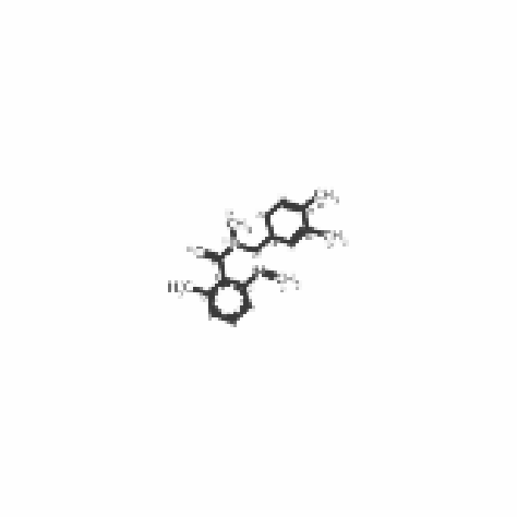 C=Nc1cccc(C)c1C(=O)N(C)CC1C=C(C)C(C)=CC1